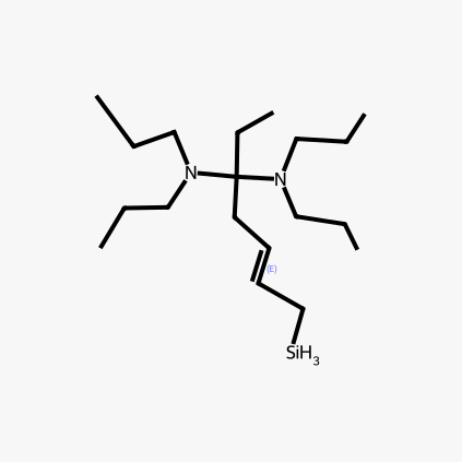 CCCN(CCC)C(CC)(C/C=C/C[SiH3])N(CCC)CCC